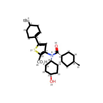 CC(C)(C)C1CC=C(c2cc(N(C(=O)[C@H]3CC[C@H](C)CC3)[C@H]3CC[C@H](O)CC3)c(C(=O)O)s2)CC1